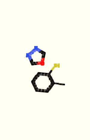 Cc1ccccc1S.c1nnco1